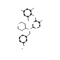 Cc1cc(C#N)cc(C)c1Oc1nc(N(Cc2cccc(OC(F)(F)F)c2)C2CCNCC2)ncc1Br